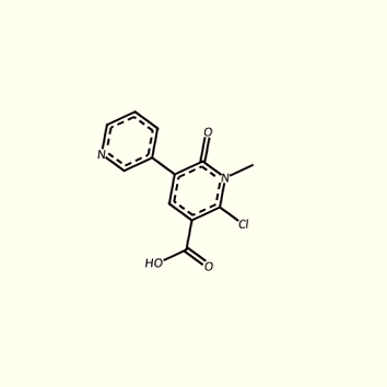 Cn1c(Cl)c(C(=O)O)cc(-c2cccnc2)c1=O